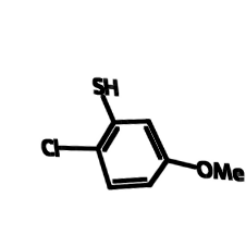 COc1ccc(Cl)c(S)c1